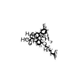 Cc1c(OCCNCCC(F)F)ccc(F)c1C1c2[nH]c3ccc(F)cc3c2C[C@@H](C)N1C[C@@H](C)C(=O)O